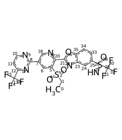 CCS(=O)(=O)c1cc(-c2nccc(C(F)(F)F)n2)cnc1-c1nc2cc(S(=N)(=O)C(F)(F)F)ccc2o1